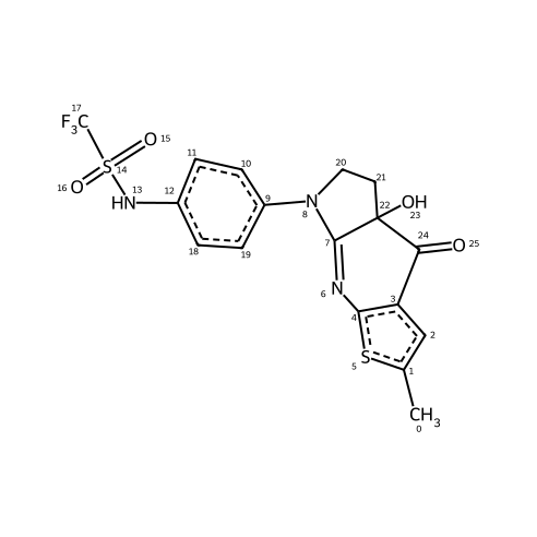 Cc1cc2c(s1)N=C1N(c3ccc(NS(=O)(=O)C(F)(F)F)cc3)CCC1(O)C2=O